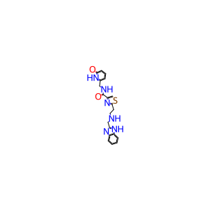 O=C(NCc1cccc(=O)[nH]1)c1csc(CCNCc2nc3ccccc3[nH]2)n1